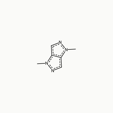 Cn1ncc2c1cnn2C